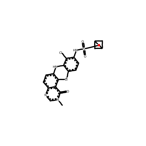 Cn1cnc2ccc(Nc3c(F)ccc(NS(=O)(=O)N4CC5CC4C5)c3Cl)c(Cl)c2c1=O